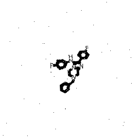 Fc1ccc(Nc2c(-c3ccc(F)cc3)nc3n2CCN(Cc2ccccc2)C3)cc1